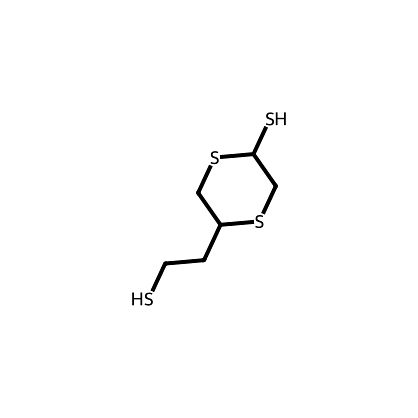 SCCC1CSC(S)CS1